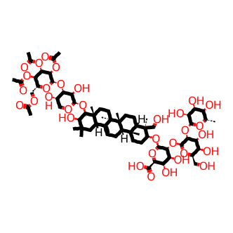 CC(=O)OC[C@H]1O[C@@H](O[C@@H]2[C@@H](O)[C@H](O[C@@H]3[C@H](O)C(C)(C)C[C@H]4C5=CC[C@@H]6[C@@]7(C)CC[C@H](O[C@@H]8O[C@H](C(=O)O)[C@@H](O)[C@H](O)[C@H]8O[C@@H]8O[C@H](CO)[C@H](O)[C@H](O)[C@H]8O[C@@H]8O[C@@H](C)[C@H](O)[C@@H](O)[C@H]8O)[C@](C)(CO)[C@@H]7CC[C@@]6(C)[C@]5(C)CC[C@@]34C)OC[C@@H]2O)[C@H](OC(C)=O)[C@@H](OC(C)=O)[C@@H]1OC(C)=O